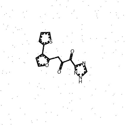 O=C(Cc1occc1-c1cccs1)C(=O)c1nc[nH]n1